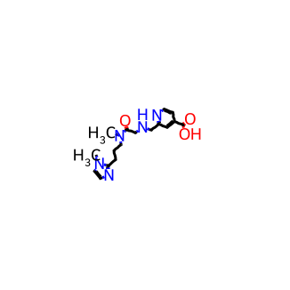 CN(CCCc1nccn1C)C(=O)CNCc1cc(C(=O)O)ccn1